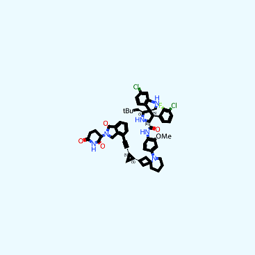 COc1cc(N2CCCCC23CC([C@@H]2C[C@@H]2C#Cc2cccc4c2CN(C2CCC(=O)NC2=O)C4=O)C3)ccc1NC(=O)[C@@H]1N[C@@H](CC(C)(C)C)[C@@]2(CNc3cc(Cl)ccc32)[C@H]1c1cccc(Cl)c1F